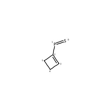 S=PC1=CCC1